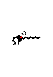 C=O.CCCCCCCCCc1c2cccc1OOCC2